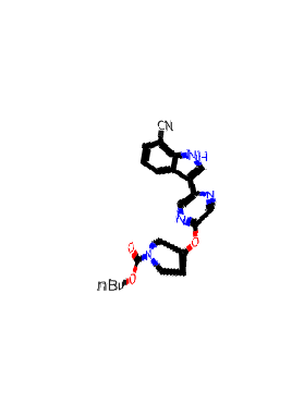 CCCCOC(=O)N1CCC(Oc2cnc(-c3c[nH]c4c(C#N)cccc34)cn2)C1